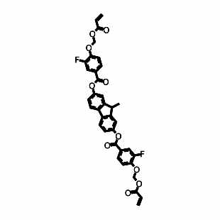 C=CC(=O)OCOc1ccc(C(=O)Oc2ccc3c(c2)C(C)c2cc(OC(=O)c4ccc(OCOC(=O)C=C)c(F)c4)ccc2-3)cc1F